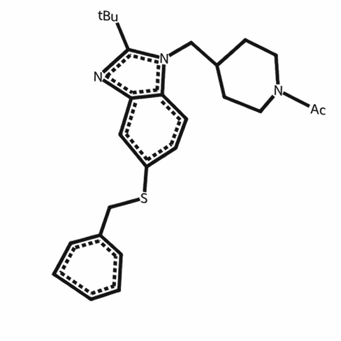 CC(=O)N1CCC(Cn2c(C(C)(C)C)nc3cc(SCc4ccccc4)ccc32)CC1